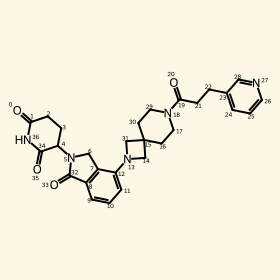 O=C1CCC(N2Cc3c(cccc3N3CC4(CCN(C(=O)CCc5cccnc5)CC4)C3)C2=O)C(=O)N1